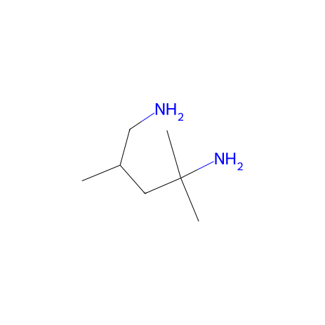 CC(CN)CC(C)(C)N